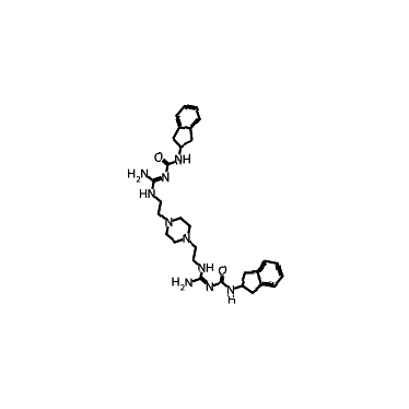 NC(=NC(=O)NC1Cc2ccccc2C1)NCCN1CCN(CCNC(N)=NC(=O)NC2Cc3ccccc3C2)CC1